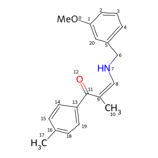 COc1cccc(CNC=C(C)C(=O)c2ccc(C)cc2)c1